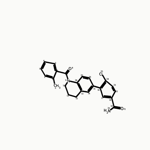 Cc1ccccc1C(=O)N1CCCc2cc(-c3cc(C(N)=O)ccc3Cl)ccc21